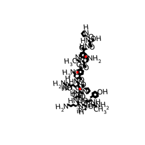 CC(C)C[C@H](NC(=O)[C@H](Cc1ccc(O)cc1)NC(=O)[C@H](C)N)C(=O)N[C@@H](CCCCN)C(=O)N[C@@H](CC(C)C)C(=O)N[C@@H](CC(=O)O)C(=O)N1CCC[C@H]1C(=O)N[C@@H](CCCNC(=N)N)C(=O)N[C@@H](CC(N)=O)C(=O)c1ccc(OC(=O)[C@H](CC(N)=O)N(C(=O)[C@H](C)N)c2ccc(C(=O)CNC(=O)[C@H](CO)NC(=O)[C@@H]3CCCN3)cc2)cc1